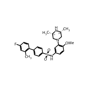 COc1ccc(NS(=O)(=O)c2ccc(-c3ccc(F)cc3C)cc2)cc1N1C[C@@H](C)N[C@@H](C)C1